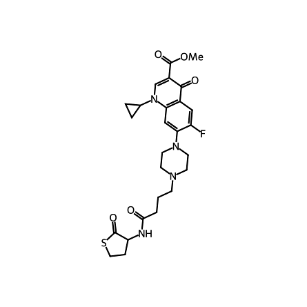 COC(=O)c1cn(C2CC2)c2cc(N3CCN(CCCC(=O)NC4CCSC4=O)CC3)c(F)cc2c1=O